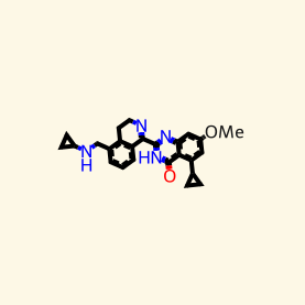 COc1cc(C2CC2)c2c(=O)[nH]c(C3=NCCc4c(CNC5CC5)cccc43)nc2c1